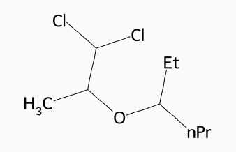 CCCC(CC)OC(C)C(Cl)Cl